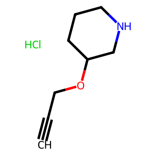 C#CCOC1CCCNC1.Cl